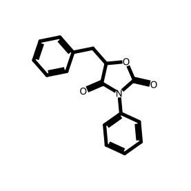 O=C1OC(Cc2ccccc2)C(=O)N1c1ccccc1